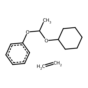 C=C.CC(Oc1ccccc1)OC1CCCCC1